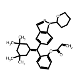 C=CC(=O)Oc1ccccc1C(=C1CC(C)(C)CC(C)(C)C1)c1ccc2c(cnn2C2CCCCO2)c1